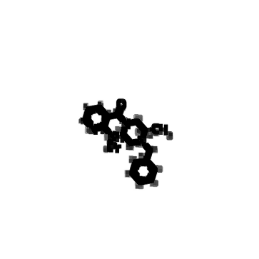 CC(C)Nc1ncccc1C(=O)N1CCN(Cc2ccccc2)[C@@H](C)C1